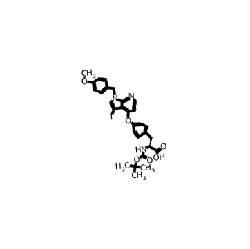 COc1ccc(Cn2cc(I)c3c(Oc4ccc(C[C@H](NC(=O)OC(C)(C)C)C(=O)O)cc4)ccnc32)cc1